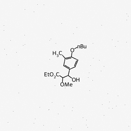 CCCCOc1ccc(C(O)C(OC)C(=O)OCC)cc1C